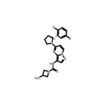 OC1CN(C(=S)Nc2cnn3ccc(N4CCC[C@@H]4c4cc(F)ccc4F)nc23)C1